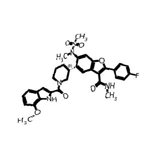 CNC(=O)c1c(-c2ccc(F)cc2)oc2cc(N(C)S(C)(=O)=O)c([C@H]3CCCN(C(=O)c4cc5cccc(OC)c5[nH]4)C3)cc12